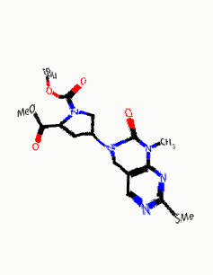 COC(=O)C1CC(N2Cc3cnc(SC)nc3N(C)C2=O)CN1C(=O)OC(C)(C)C